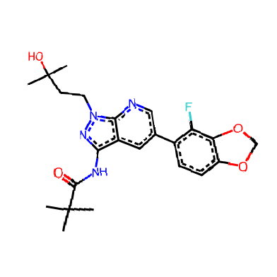 CC(C)(O)CCn1nc(NC(=O)C(C)(C)C)c2cc(-c3ccc4c(c3F)OCO4)cnc21